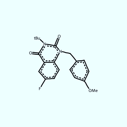 COc1ccc(Cn2c(=O)n(C(C)(C)C)c(=O)c3cc(F)ccc32)cc1